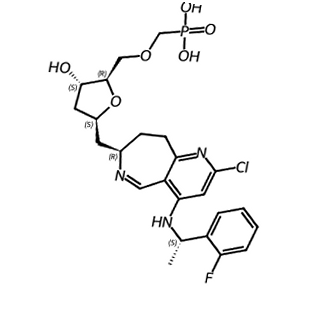 C[C@H](Nc1cc(Cl)nc2c1C=N[C@@H](C[C@H]1C[C@H](O)[C@@H](COCP(=O)(O)O)O1)CC2)c1ccccc1F